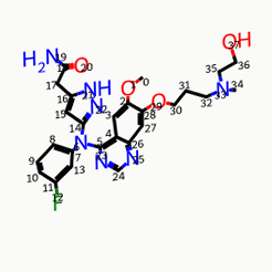 COc1cc2c(N(c3cccc(F)c3)c3cc(CC(N)=O)[nH]n3)ncnc2cc1OCCCN(C)CCO